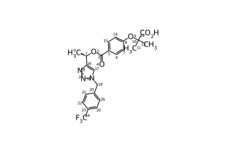 C[C@@H](OC(=O)c1ccc(OC(C)(C)C(=O)O)cc1)c1cn(Cc2ccc(C(F)(F)F)cc2)nn1